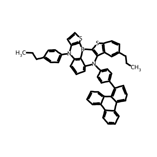 CCCc1ccc(N2c3ccsc3B3c4sc5ccc(CCC)cc5c4N(c4ccc(-c5cccc6c7ccccc7c7ccccc7c56)cc4)c4cccc2c43)cc1